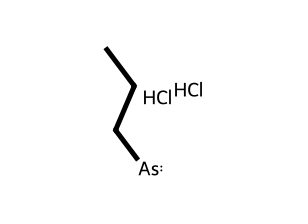 CCC[As].Cl.Cl